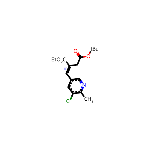 CCOC(=O)/C(=C/c1cnc(C)c(Cl)c1)CC(=O)OC(C)(C)C